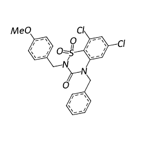 COc1ccc(CN2C(=O)N(Cc3ccccc3)c3cc(Cl)cc(Cl)c3S2(=O)=O)cc1